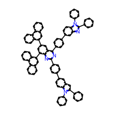 c1ccc(-c2cc3cc(-c4ccc(-c5nc(-c6ccc(-c7ccc8c(c7)nc(-c7ccccc7)n8-c7ccccc7)cc6)c6cc(-c7cc8ccccc8c8ccccc78)cc(-c7cc8ccccc8c8ccccc78)c6n5)cc4)ccc3n2-c2ccccc2)cc1